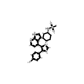 CS(=O)(=O)N[C@H]1CC[C@H](n2cnc(-c3ccc(F)cc3)c2-c2ccnc3[nH]ccc23)CC1